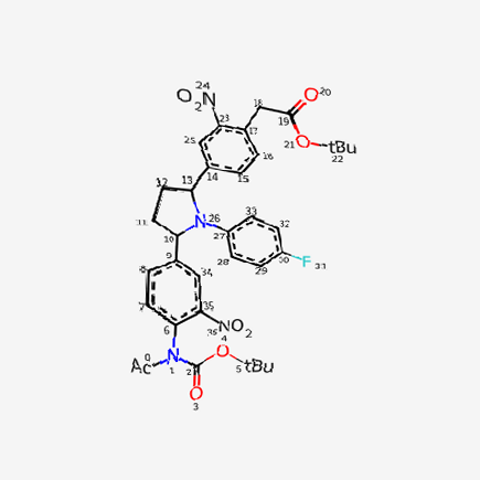 CC(=O)N(C(=O)OC(C)(C)C)c1ccc(C2CCC(c3ccc(CC(=O)OC(C)(C)C)c([N+](=O)[O-])c3)N2c2ccc(F)cc2)cc1[N+](=O)[O-]